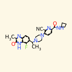 Cc1nc2ccc(C(C)N3CCN(c4ccc(C(=O)NC5CCC5)nc4C#N)CC3)c(F)c2[nH]c1=O